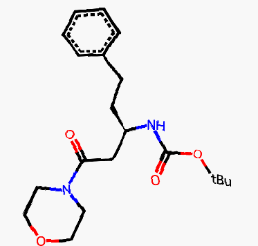 CC(C)(C)OC(=O)N[C@H](CCc1ccccc1)CC(=O)N1CCOCC1